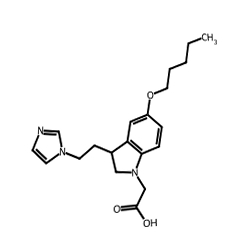 CCCCCOc1ccc2c(c1)C(CCn1ccnc1)CN2CC(=O)O